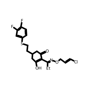 CCC(=NOCC=CCl)C1=C(O)CC(CCSc2ccc(F)c(F)c2)CC1=O